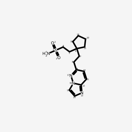 NS(=O)(=O)CCC1(CCc2ccc3nccn3n2)CCCC1